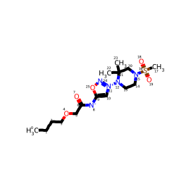 CCCCOCC(=O)[N-]c1c[n+](N2CCN(S(C)(=O)=O)CC2(C)C)no1